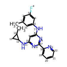 Cc1cc(F)cc(Nc2cc(NC3CC3C)nc(-c3ccccn3)n2)c1